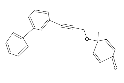 CC1(OCC#Cc2cccc(-c3ccccc3)c2)C=CC(=O)C=C1